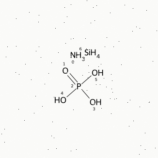 N.O=P(O)(O)O.[SiH4]